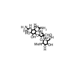 CN[C@@H]1C(O)[C@@H](O)C(CO)O[C@H]1O[C@@H]1[C@H](OC2[C@@H](NC(=N)N)C(O)C(NC(=N)N)[C@H](O)[C@@H]2O)OCC1(O)C=O